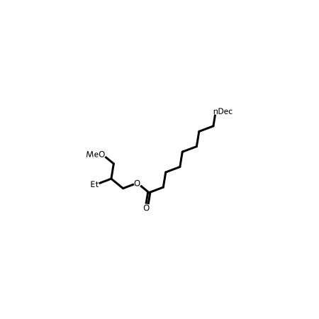 CCCCCCCCCCCCCCCCCC(=O)OCC(CC)COC